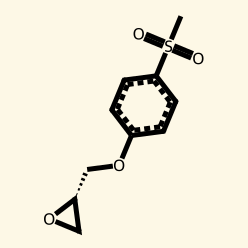 CS(=O)(=O)c1ccc(OC[C@@H]2CO2)cc1